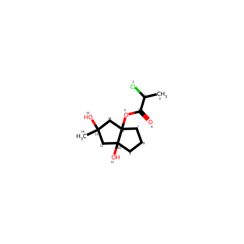 CC(Cl)C(=O)OC12CCCC1(O)CC(C)(O)C2